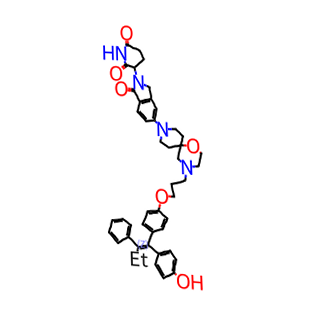 CC/C(=C(\c1ccc(O)cc1)c1ccc(OCCCN2CCOC3(CCN(c4ccc5c(c4)CN(C4CCC(=O)NC4=O)C5=O)CC3)C2)cc1)c1ccccc1